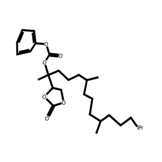 CC(C)CCCC(C)CCCC(C)CCCC(C)(OC(=O)Oc1ccccc1)C1COC(=O)O1